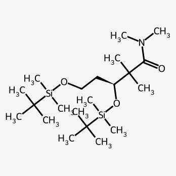 CN(C)C(=O)C(C)(C)[C@H](CCO[Si](C)(C)C(C)(C)C)O[Si](C)(C)C(C)(C)C